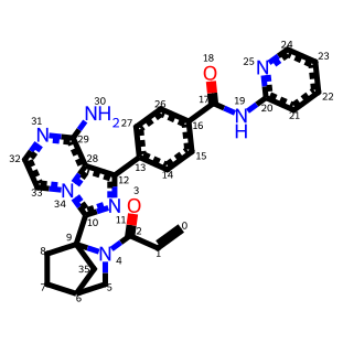 C=CC(=O)N1CC2CCC1(c1nc(-c3ccc(C(=O)Nc4ccccn4)cc3)c3c(N)nccn13)C2